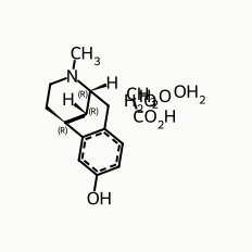 CC(=O)O.CN1CC[C@]23CCCC[C@H]2[C@H]1Cc1ccc(O)cc13.O.O.O